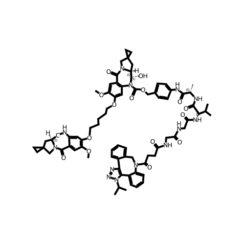 COc1cc2c(cc1OCCCCCOc1cc3c(cc1OC)C(=O)N1CC4(CC4)C[C@H]1[C@H](O)N3C(=O)OCc1ccc(NC(=O)[C@H](C)NC(=O)[C@@H](NC(=O)CNC(=O)CNC(=O)CCC(=O)N3Cc4ccccc4-c4nnn(C(C)C)c4-c4ccccc43)C(C)C)cc1)NC[C@@H]1CC3(CC3)CN1C2=O